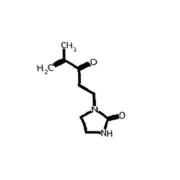 C=C(C)C(=O)CCN1CCNC1=O